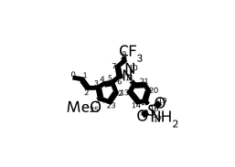 CC=Cc1cc(-c2cc(C(F)(F)F)nn2-c2ccc(S(N)(=O)=O)cc2)ccc1OC